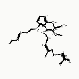 CCC=CCCOc1cccc2oc(=O)c(OC)c(OCC=C(C)CCC=C(C)C)c12